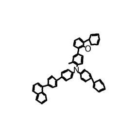 Cc1cc(-c2cccc3c2OC2C=CC=CC32)ccc1N(c1ccc(-c2ccccc2)cc1)c1ccc(-c2ccc(-c3cccc4ccccc34)cc2)cc1